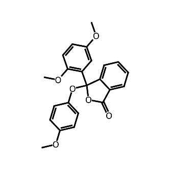 COc1ccc(OC2(c3cc(OC)ccc3OC)OC(=O)c3ccccc32)cc1